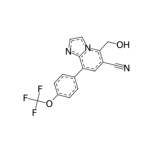 N#Cc1cc(-c2ccc(OC(F)(F)F)cc2)c2nccn2c1CO